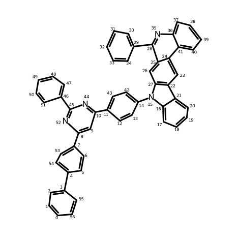 c1ccc(-c2ccc(-c3cc(-c4ccc(-n5c6ccccc6c6cc7c(cc65)c(-c5ccccc5)nc5ccccc57)cc4)nc(-c4ccccc4)n3)cc2)cc1